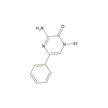 CCn1cc(-c2ccccc2)nc(N)c1=O